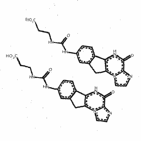 CCOC(=O)CCNC(=O)Nc1ccc2c(c1)Cc1c-2[nH]c(=O)c2nccn12.O=C(O)CCNC(=O)Nc1ccc2c(c1)Cc1c-2[nH]c(=O)c2nccn12